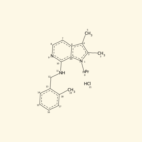 CCCn1c(C)c(C)c2ccnc(NCc3ccccc3C)c21.Cl